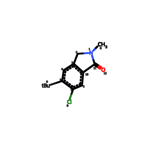 CN1Cc2cc(C(C)(C)C)c(Cl)cc2C1=O